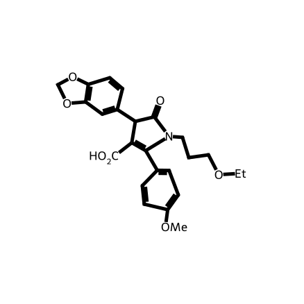 CCOCCCN1C(=O)C(c2ccc3c(c2)OCO3)C(C(=O)O)=C1c1ccc(OC)cc1